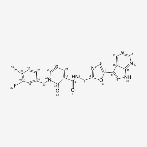 O=C(NCc1ncc(-c2c[nH]c3ncccc23)o1)c1cccn(Cc2ccc(F)c(F)c2)c1=O